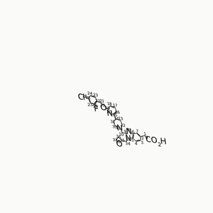 O=C(O)Cc1ccc2c(c1)nc(CN1CCC(c3cccc(OCc4ccc(Cl)cc4F)n3)CC1)n2CC1CCO1